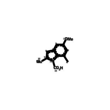 COc1cc(C)c2c(c1)cc(C(C)(C)C)n2C(=O)O